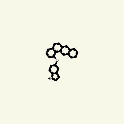 c1ccc2cc3c(ccc4cccc(Oc5ccc6[nH]ccc6c5)c43)cc2c1